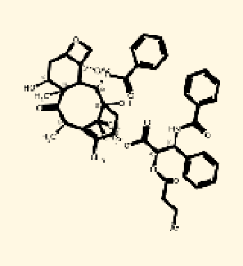 CC(=O)CCC(=O)O[C@@H](C(=O)O[C@H]1C[C@@]2(O)[C@@H](OC(=O)c3ccccc3)C3[C@]4(OC(C)=O)COC4C[C@H](O)[C@@]3(C)C(=O)[C@H](C)C(=C1C)C2(C)C)[C@@H](NC(=O)c1ccccc1)c1ccccc1